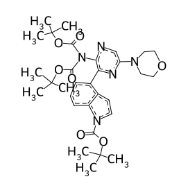 CC(C)(C)OC(=O)N(C(=O)OC(C)(C)C)c1ncc(N2CCOCC2)nc1-c1cccc2c1ccn2C(=O)OC(C)(C)C